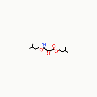 CN=C(OCCC(C)C)C1OC1C(=O)OCCC(C)C